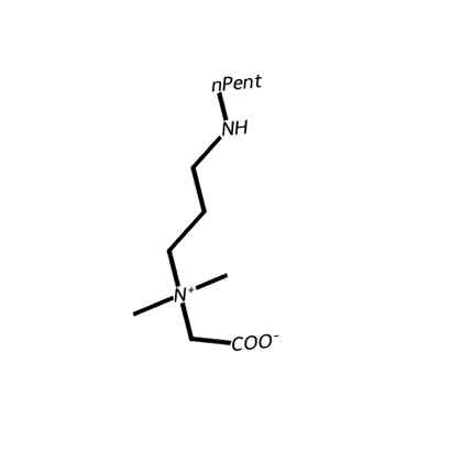 CCCCCNCCC[N+](C)(C)CC(=O)[O-]